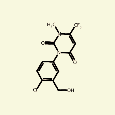 Cn1c(C(F)(F)F)cc(=O)n(-c2ccc(Cl)c(CO)c2)c1=O